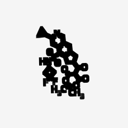 CC1(C)OC(=O)C(C(=O)C2Cc3cc4cnc(C5CC5)cc4c(S(=O)(=O)NC4CC(F)(F)C4)c3C2)C(=O)O1